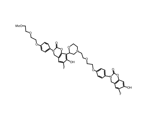 COCCOCCOc1ccc(N2Cc3cc(F)c(O)c(C4CN(CCOCCOc5ccc(N6Cc7cc(F)c(O)cc7OC6=O)cc5)CCO4)c3OC2=O)cc1